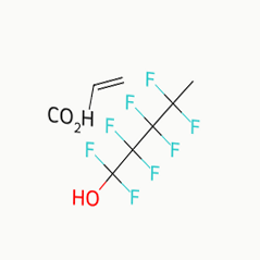 C=CC(=O)O.CC(F)(F)C(F)(F)C(F)(F)C(O)(F)F